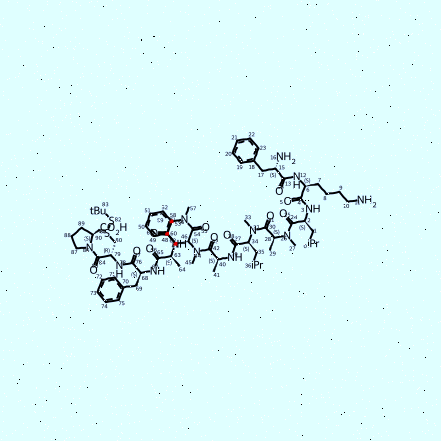 CC(C)C[C@H](NC(=O)[C@H](CCCCN)NC(=O)[C@@H](N)Cc1ccccc1)C(=O)N(C)[C@@H](C)C(=O)N(C)[C@@H](CC(C)C)C(=O)N[C@@H](C)C(=O)N(C)[C@@H](Cc1ccccc1)C(=O)N(C)[C@@H](C)C(=O)N[C@@H](C)C(=O)N[C@@H](Cc1ccccc1)C(=O)N[C@@H](CSSC(C)(C)C)C(=O)N1CCC[C@H]1C(=O)O